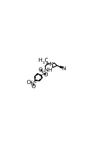 C[C@H](CNS(=O)(=O)c1ccc([N+](=O)[O-])cc1)N1CC(C#N)C1